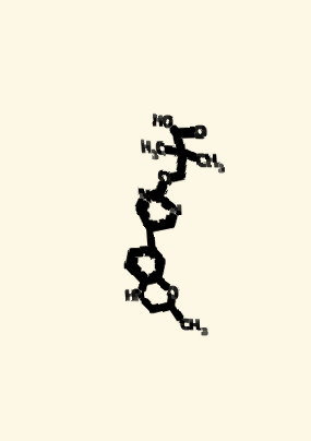 CC1CNc2ccc(-c3cnc(OCC(C)(C)C(=O)O)nc3)cc2O1